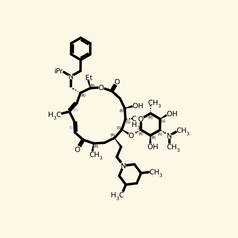 CC[C@H]1OC(=O)C[C@@H](O)[C@H](C)[C@@H](O[C@@H]2O[C@H](C)[C@@H](O)[C@H](N(C)C)[C@H]2O)[C@@H](CCN2CC(C)CC(C)C2)C[C@@H](C)C(=O)/C=C/C(C)=C/[C@@H]1CN(Cc1ccccc1)C(C)C